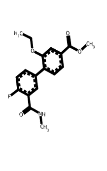 CCOc1cc(C(=O)OC)ccc1-c1ccc(F)c(C(=O)NC)c1